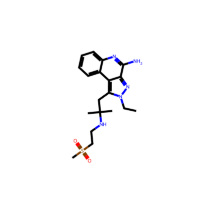 CCn1nc2c(N)nc3ccccc3c2c1CC(C)(C)NCCS(C)(=O)=O